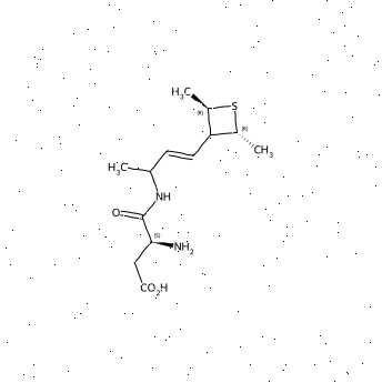 CC(C=CC1[C@@H](C)S[C@@H]1C)NC(=O)[C@@H](N)CC(=O)O